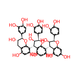 Oc1cc(O)c2c(c1)O[C@H](c1ccc(O)c(O)c1)[C@H](O)[C@H]2c1c(O)cc(O)c2c1O[C@H](c1ccc(O)c(O)c1)[C@H](O)[C@H]2c1c(O)cc(O)c2c1O[C@H](c1ccc(O)c(O)c1)[C@@H](O)C2